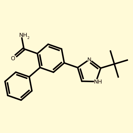 CC(C)(C)c1nc(-c2ccc(C(N)=O)c(-c3ccccc3)c2)c[nH]1